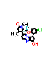 Cc1cc(=O)n(C)cc1-c1ccc2nc3c(n2c1)[C@@H](c1cc(Cl)ccc1OC(F)F)C[C@H]3O